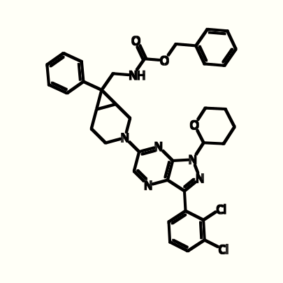 O=C(NCC1(c2ccccc2)C2CCN(c3cnc4c(-c5cccc(Cl)c5Cl)nn(C5CCCCO5)c4n3)CC21)OCc1ccccc1